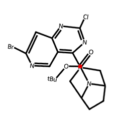 CC(C)(C)OC(=O)N1C2CCC1CN(c1nc(Cl)nc3cc(Br)ncc13)C2